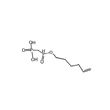 C=CCCCCO[PH](=O)CP(=O)(O)O